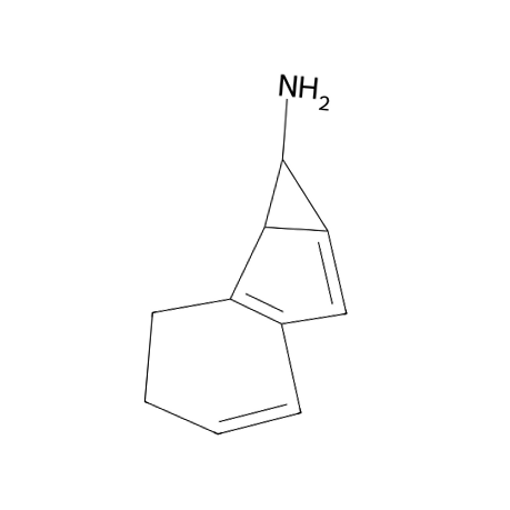 NC1C2=CC3=C(CCC=C3)C21